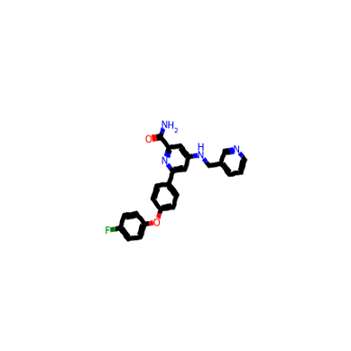 NC(=O)c1cc(NCc2cccnc2)cc(-c2ccc(Oc3ccc(F)cc3)cc2)n1